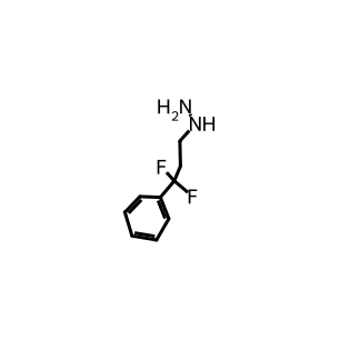 NNCCC(F)(F)c1ccccc1